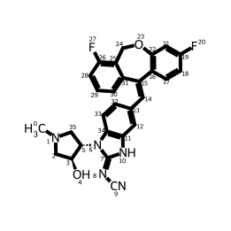 CN1C[C@H](O)[C@@H](n2/c(=N/C#N)[nH]c3cc(/C=C4/c5ccc(F)cc5OCc5c(F)cccc54)ccc32)C1